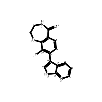 O=C1NCCOc2c1ccc(-c1c[nH]c3ncccc13)c2F